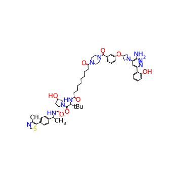 Cc1ncsc1-c1ccc(C(C)NC(=O)[C@@H]2C[C@@H](O)CN2C(=O)C(NC(=O)CCCCCCCCC(=O)N2CCN(C(=O)c3cccc(OC4CN(c5cc(-c6ccccc6O)nnc5N)C4)c3)CC2)C(C)(C)C)cc1